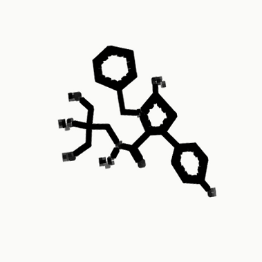 CN(CC(C)(CO)CO)C(=O)c1c(-c2ccc(Cl)cc2)cc(C(F)(F)F)n1Cc1ccccc1